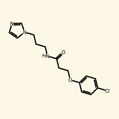 O=C(CCOc1ccc(Cl)cc1)NCCCn1ccnc1